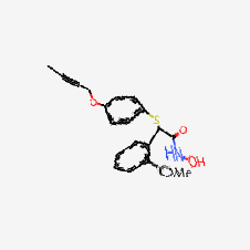 CC#CCOc1ccc(SC(C(=O)NO)c2ccccc2OC)cc1